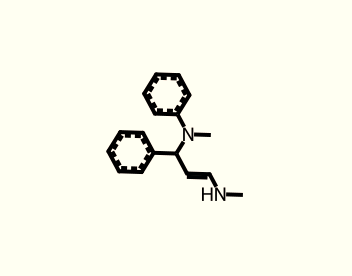 CNC=CC(c1ccccc1)N(C)c1ccccc1